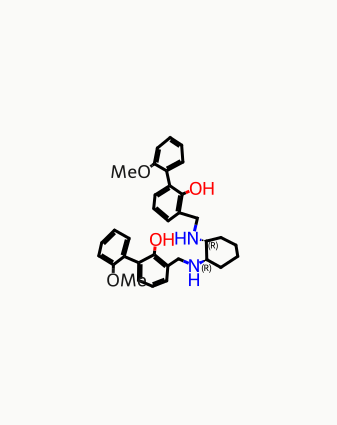 COc1ccccc1-c1cccc(CN[C@@H]2CCCC[C@H]2NCc2cccc(-c3ccccc3OC)c2O)c1O